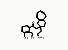 CNCCC1(CC(=O)c2cccc(O)c2CC(C)C)CCC2=C(C=CC=CC2)C1